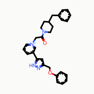 O=C(C[n+]1cccc(-c2cc(COc3ccccc3)n[nH]2)c1)N1CCC(Cc2ccccc2)CC1